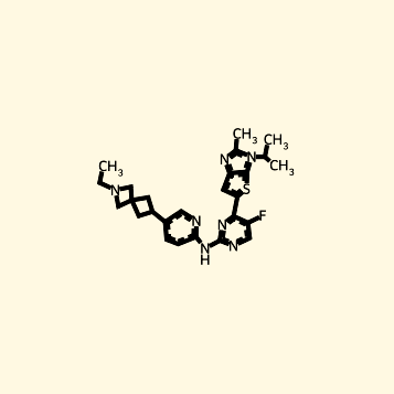 CCN1CC2(CC(c3ccc(Nc4ncc(F)c(-c5cc6nc(C)n(C(C)C)c6s5)n4)nc3)C2)C1